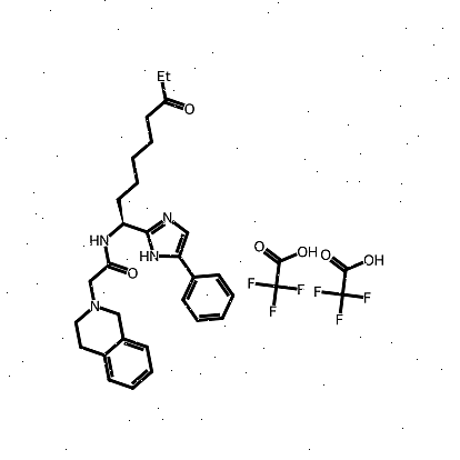 CCC(=O)CCCCC[C@H](NC(=O)CN1CCc2ccccc2C1)c1ncc(-c2ccccc2)[nH]1.O=C(O)C(F)(F)F.O=C(O)C(F)(F)F